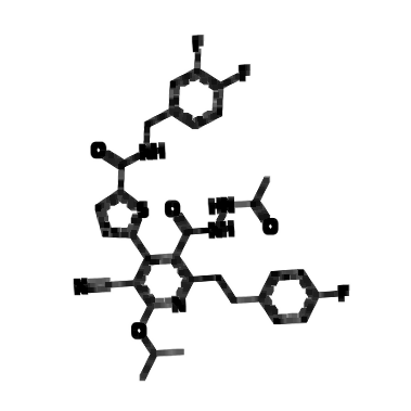 CC(=O)NNC(=O)c1c(CCc2ccc(F)cc2)nc(OC(C)C)c(C#N)c1-c1ccc(C(=O)NCc2ccc(F)c(F)c2)s1